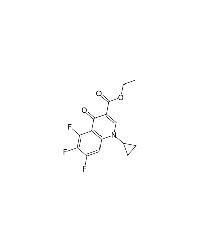 CCOC(=O)c1cn(C2CC2)c2cc(F)c(F)c(F)c2c1=O